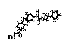 CCC(C)CC(=O)N1CCC(Oc2ccc(NC(=O)N3CC(c4cccnc4)C3)cc2)CC1